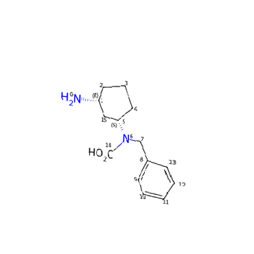 N[C@@H]1CCC[C@H](N(Cc2ccccc2)C(=O)O)C1